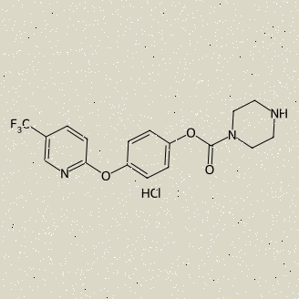 Cl.O=C(Oc1ccc(Oc2ccc(C(F)(F)F)cn2)cc1)N1CCNCC1